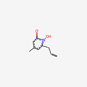 C=CCc1cc(C)cc(=O)n1O